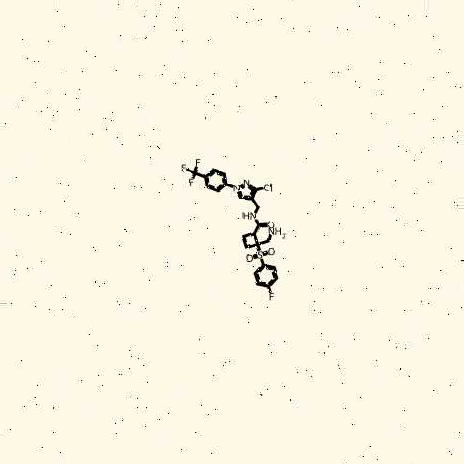 NCC1(S(=O)(=O)c2ccc(F)cc2)CCC1C(=O)NCc1cn(-c2ccc(C(F)(F)F)cc2)nc1Cl